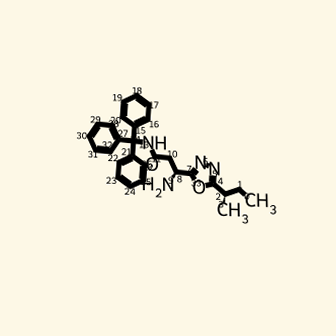 CC[C@H](C)c1nnc([C@@H](N)CC(=O)NC(c2ccccc2)(c2ccccc2)c2ccccc2)o1